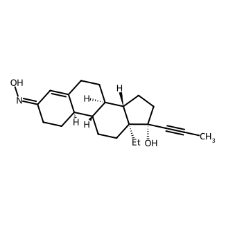 CC#C[C@]1(O)CC[C@H]2[C@@H]3CCC4=C/C(=N\O)CC[C@@H]4[C@H]3CC[C@@]21CC